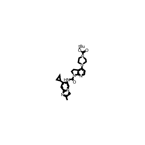 Cc1cn2cc(NC(=O)N3CCc4c(N5CCN(C(=O)OC(C)(C)C)CC5)ccnc43)c(C3CC3)cc2n1